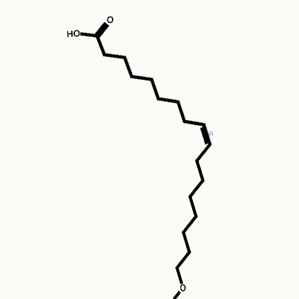 O=C(O)CCCCCCC/C=C\CCCCCCCOO